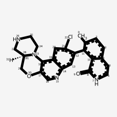 Cc1ccc2cc[nH]c(=O)c2c1-c1cc2ncc3c(c2cc1Cl)N1CCNC[C@@H]1CO3